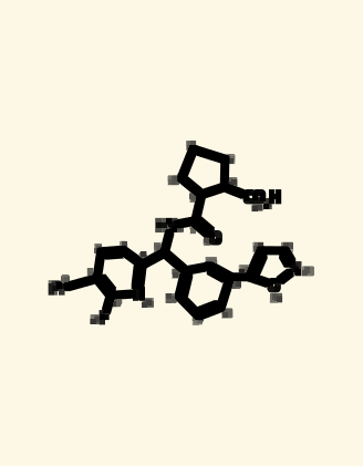 CC(C)c1ccc(C(NC(=O)C2CCCC2C(=O)O)c2cccc(-c3ccno3)c2)nc1F